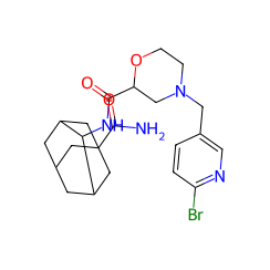 NC(=O)C12CC3CC(C1)C(NC(=O)C1CN(Cc4ccc(Br)nc4)CCO1)C(C3)C2